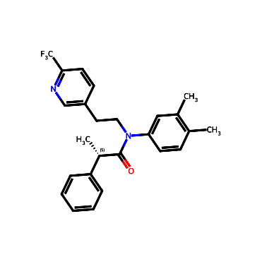 Cc1ccc(N(CCc2ccc(C(F)(F)F)nc2)C(=O)[C@@H](C)c2ccccc2)cc1C